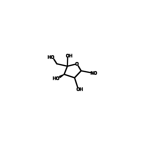 O=NC1OC(O)(CO)[C@H](O)C1O